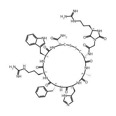 C[C@H]1NC(=O)[C@@H](NC(=O)CN2C(=O)N[C@H](CCCNC(=N)N)C2=O)CSSC[C@@H](C(N)=O)NC(=O)[C@H](Cc2c[nH]c3ccccc23)NC(=O)[C@H](CCCNC(=N)N)NC(=O)[C@@H](Cc2ccccc2)NC(=O)[C@H](Cc2cnc[nH]2)NC1=O